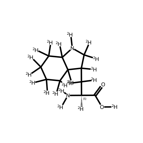 [2H]OC(=O)[C@@]([2H])(N([2H])[2H])C([2H])([2H])C1([2H])C([2H])([2H])N([2H])C2([2H])C([2H])([2H])C([2H])([2H])C([2H])([2H])C([2H])([2H])C21[2H]